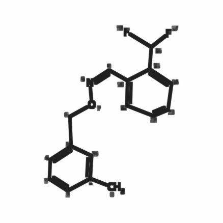 Cc1cccc(CO/N=[C]\c2ccccc2C(F)F)c1